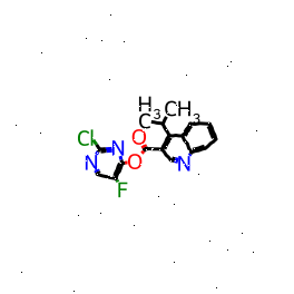 CC(C)c1c(C(=O)Oc2nc(Cl)ncc2F)cnc2ccccc12